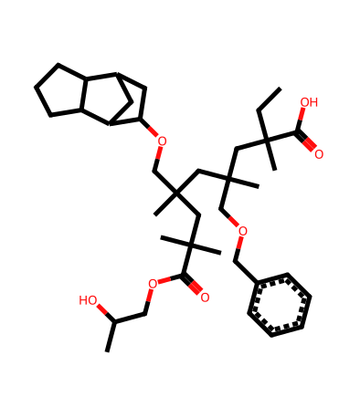 CCC(C)(CC(C)(COCc1ccccc1)CC(C)(COC1CC2CC1C1CCCC21)CC(C)(C)C(=O)OCC(C)O)C(=O)O